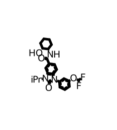 CC(C)n1c(=O)n(-c2cccc(OC(F)F)c2)c2ccc(C(=O)N[C@@H]3CCCC[C@H]3O)cc21